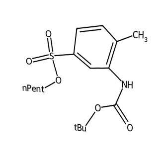 CCCCCOS(=O)(=O)c1ccc(C)c(NC(=O)OC(C)(C)C)c1